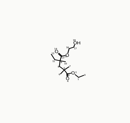 CCOC(=O)C(C)(C)CC(C)(CC)C(=O)OCCO